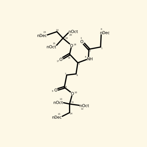 CCCCCCCCCCCC(=O)NC(CCC(=O)OC(CCCCCCCC)(CCCCCCCC)CCCCCCCCCCC)C(=O)OC(CCCCCCCC)(CCCCCCCC)CCCCCCCCCCC